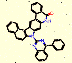 O=c1[nH]c2cc3c(cc2c2ccccc12)c1c2ccccc2ccc1n3-c1nc(-c2ccccc2)c2ccccc2n1